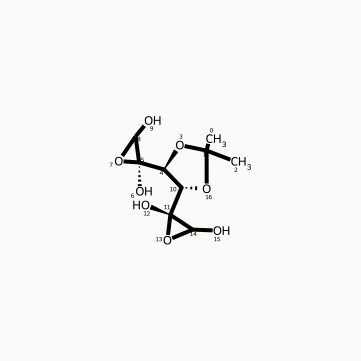 CC1(C)O[C@H]([C@@]2(O)OC2O)[C@@H]([C@@]2(O)OC2O)O1